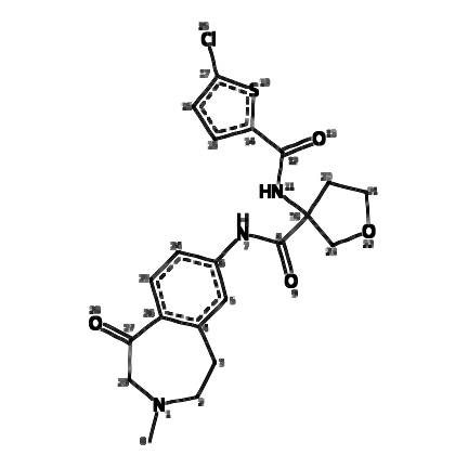 CN1CCc2cc(NC(=O)C3(NC(=O)c4ccc(Cl)s4)CCOC3)ccc2C(=O)C1